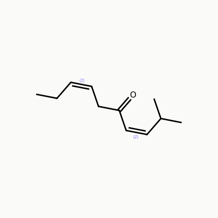 CC/C=C\CC(=O)/C=C\C(C)C